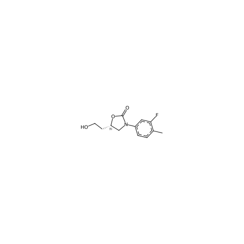 Cc1ccc(N2C[C@H](CCO)OC2=O)cc1F